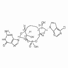 Nc1nc2c(ncn2[C@@H]2O[C@@H]3CCC[C@H]4[C@@H](O)[C@H](n5ccc6c(Cl)ncnc65)O[C@@H]4COP(=O)(O)O[C@@H]2[C@@H]3O)c(=O)[nH]1